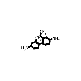 Nc1ccc(C2=C(C(F)(F)F)CC(N)C=C2)c(CC(F)(F)F)c1